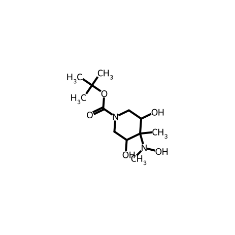 CN(O)C1(C)C(O)CN(C(=O)OC(C)(C)C)CC1O